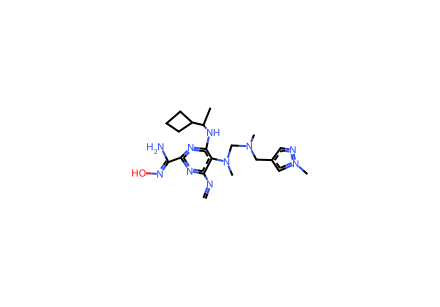 C=Nc1nc(/C(N)=N/O)nc(NC(C)C2CCC2)c1N(C)CN(C)Cc1cnn(C)c1